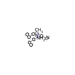 CC(/C=C(\N=C(/N)c1ccc(-c2cccc3ccccc23)cc1)c1ccc(C2=CCCN=C2)cc1)c1ccc(-c2cccc3ccccc23)cc1